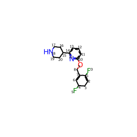 FC1=CCC(F)C=C1COc1cccc(C2CCNCC2)n1